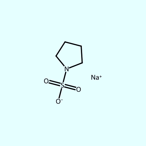 O=S(=O)([O-])N1CCCC1.[Na+]